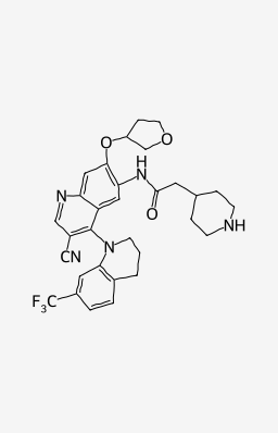 N#Cc1cnc2cc(OC3CCOC3)c(NC(=O)CC3CCNCC3)cc2c1N1CCCc2ccc(C(F)(F)F)cc21